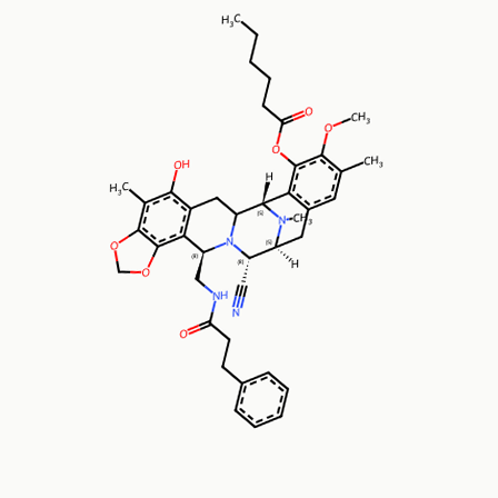 CCCCCC(=O)Oc1c(OC)c(C)cc2c1[C@H]1C3Cc4c(O)c(C)c5c(c4[C@H](CNC(=O)CCc4ccccc4)N3[C@@H](C#N)[C@H](C2)N1C)OCO5